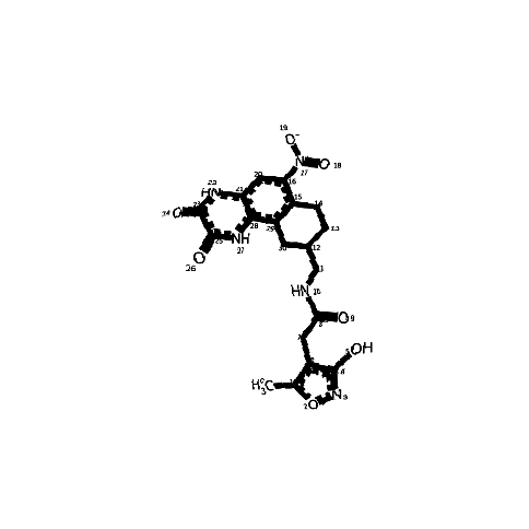 Cc1onc(O)c1CC(=O)NCC1CCc2c([N+](=O)[O-])cc3[nH]c(=O)c(=O)[nH]c3c2C1